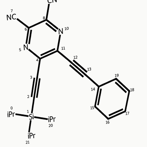 CC(C)[Si](C#Cc1nc(C#N)c(C#N)nc1C#Cc1ccccc1)(C(C)C)C(C)C